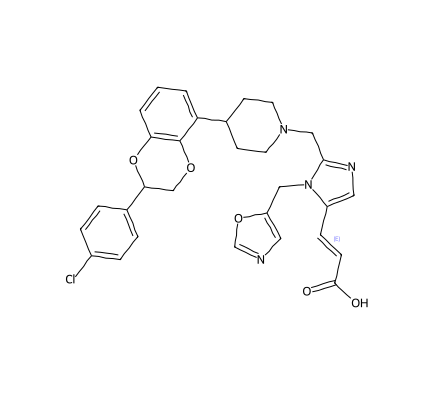 O=C(O)/C=C/c1cnc(CN2CCC(c3cccc4c3OCC(c3ccc(Cl)cc3)O4)CC2)n1Cc1cnco1